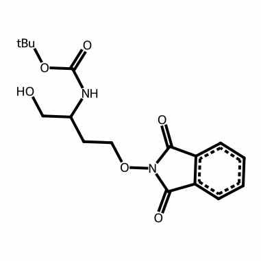 CC(C)(C)OC(=O)NC(CO)CCON1C(=O)c2ccccc2C1=O